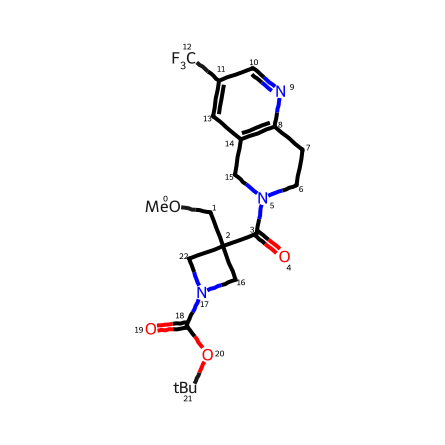 COCC1(C(=O)N2CCc3ncc(C(F)(F)F)cc3C2)CN(C(=O)OC(C)(C)C)C1